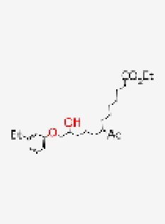 CCOC(=O)CCCCCCC(CCCC(O)COc1cccc(CC)c1)C(C)=O